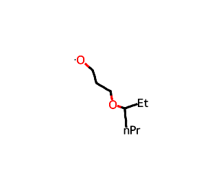 CCCC(CC)OCCC[O]